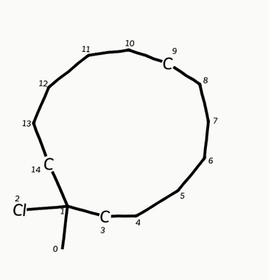 CC1(Cl)CCCCCCCCCCCC1